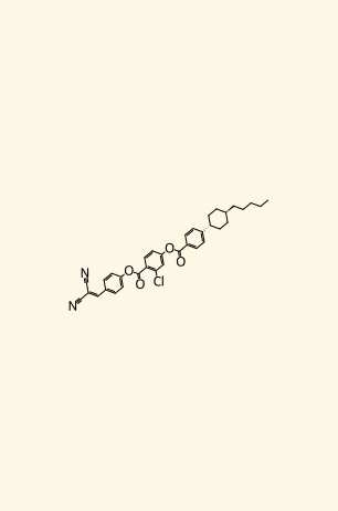 CCCCC[C@H]1CC[C@H](c2ccc(C(=O)Oc3ccc(C(=O)Oc4ccc(C=C(C#N)C#N)cc4)c(Cl)c3)cc2)CC1